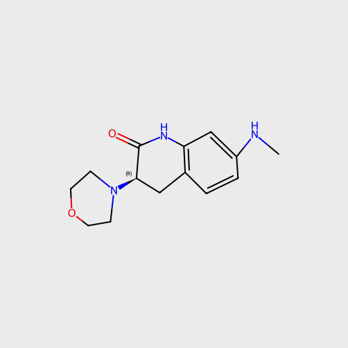 CNc1ccc2c(c1)NC(=O)[C@H](N1CCOCC1)C2